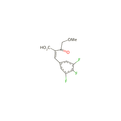 COCC(=O)C(=Cc1cc(F)c(F)c(F)c1)C(=O)O